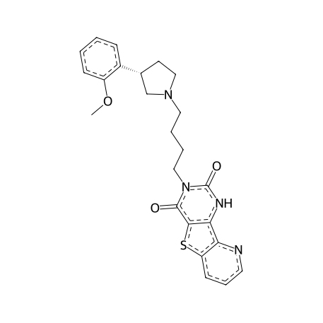 COc1ccccc1[C@@H]1CCN(CCCCn2c(=O)[nH]c3c(sc4cccnc43)c2=O)C1